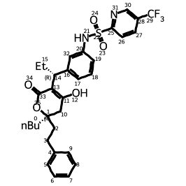 CCCC[C@@]1(CCc2ccccc2)CC(O)=C([C@H](CC)c2cccc(NS(=O)(=O)c3ccc(C(F)(F)F)cn3)c2)C(=O)O1